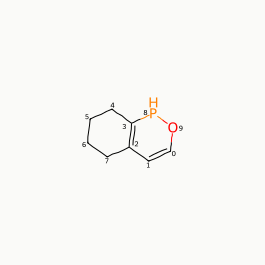 C1=CC2=C(CCCC2)PO1